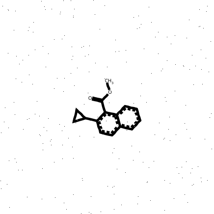 COC(=O)c1c(C2CC2)ccc2ccccc12